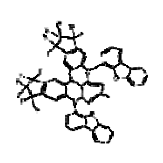 Cc1cc2c3c(c1)N(c1cccc4c1oc1ccccc14)c1cc4c(cc1B3c1cc3c(cc1N2c1cccc2c1oc1ccccc12)C(F)(F)C(F)(F)C3(F)F)C(F)(F)C(F)(F)C4(F)F